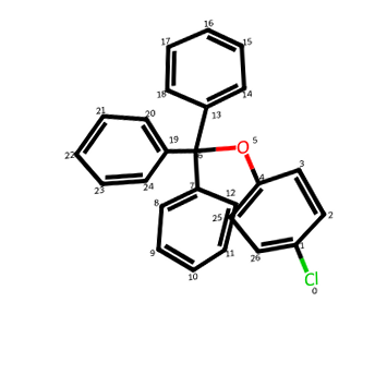 Clc1ccc(OC(c2ccccc2)(c2ccccc2)c2ccccc2)cc1